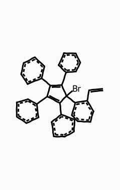 C=Cc1ccccc1C1(Br)C(c2ccccc2)=C(c2ccccc2)C(c2ccccc2)=C1c1ccccc1